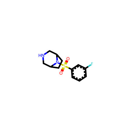 O=S(=O)(c1cccc(F)c1)N1C2CCC1CNC2